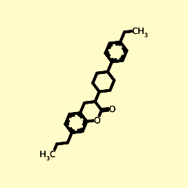 CCCc1ccc2c(c1)OC(=O)C(C1CCC(c3ccc(CC)cc3)CC1)C2